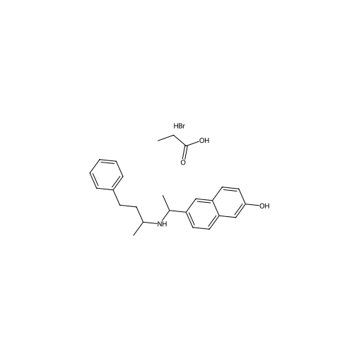 Br.CC(CCc1ccccc1)NC(C)c1ccc2cc(O)ccc2c1.CCC(=O)O